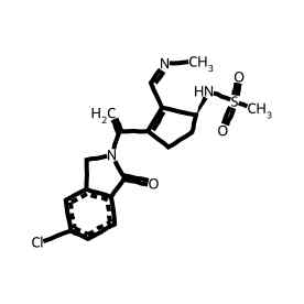 C=C(C1=C(/C=N\C)[C@@H](NS(C)(=O)=O)CC1)N1Cc2cc(Cl)ccc2C1=O